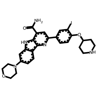 NC(=O)c1cc(-c2ccc(OC3CCNCC3)c(I)c2)nc2c1[nH]c1cc(N3CCOCC3)ccc12